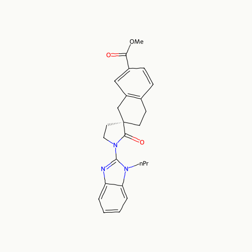 CCCn1c(N2CC[C@]3(CCc4ccc(C(=O)OC)cc4C3)C2=O)nc2ccccc21